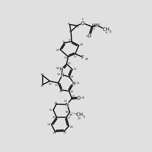 CNC(=O)OC1CC1c1ccc(-c2cc3nc(C(=O)N4CCc5ccccc5[C@H]4C)cc(C4CC4)n3n2)c(F)c1